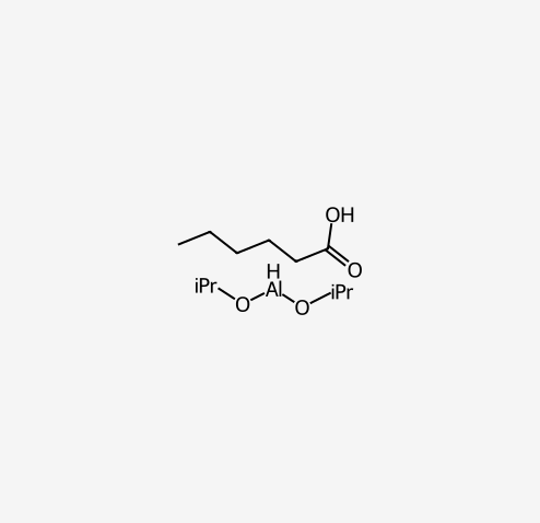 CC(C)[O][AlH][O]C(C)C.CCCCCC(=O)O